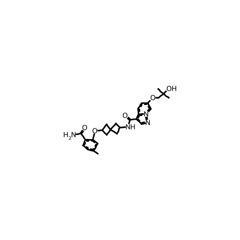 Cc1ccc(C(N)=O)c(OC2CC3(CC(NC(=O)c4cnn5cc(OCC(C)(C)O)ccc45)C3)C2)c1